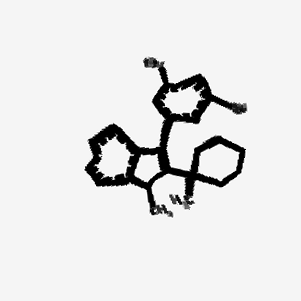 CC1C(C2(C)CCCCC2)=C(c2cc(C(C)(C)C)cc(C(C)(C)C)c2)c2ccccc21